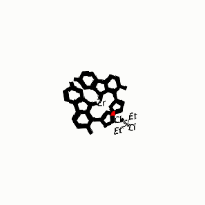 CC[Si](Cl)(Cl)CC.Cc1ccc2c(c1)[CH]([Zr][CH]1c3cc(C)ccc3-c3ccc(C)c(C4=CC=CC4)c31)c1c-2ccc(C)c1C1=CC=CC1